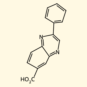 O=C(O)c1ccc2nc(-c3ccccc3)cnc2c1